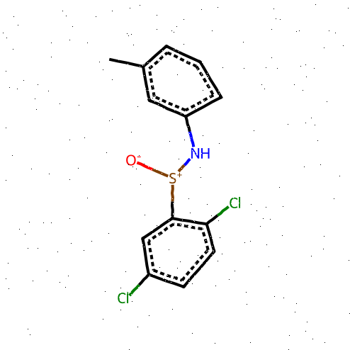 Cc1cccc(N[S+]([O-])c2cc(Cl)ccc2Cl)c1